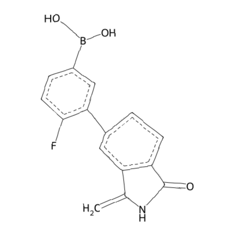 C=C1NC(=O)c2ccc(-c3cc(B(O)O)ccc3F)cc21